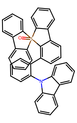 O=S12(c3ccccc3-c3ccccc31)c1ccccc1-c1cccc(-c3ccccc3-n3c4ccccc4c4ccccc43)c12